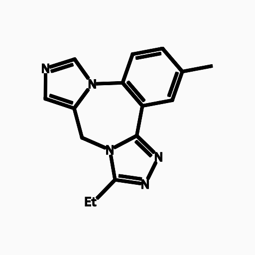 CCc1nnc2n1Cc1cncn1-c1ccc(C)cc1-2